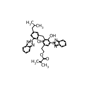 C=C(C)C(=O)OCCc1cc(Cc2cc(CC(C)C)cc(-n3nc4ccccc4n3)c2O)c(O)c(-n2nc3ccccc3n2)c1